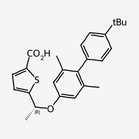 Cc1cc(O[C@H](C)c2ccc(C(=O)O)s2)cc(C)c1-c1ccc(C(C)(C)C)cc1